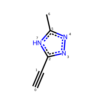 C#Cc1nnc(C)[nH]1